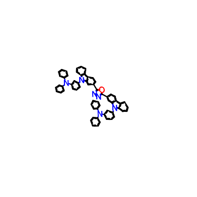 c1ccc(N(c2ccccc2)c2cccc(-n3c4ccccc4c4ccc(-c5nnc(-c6ccc7c8ccccc8n(-c8cccc(N(c9ccccc9)c9ccccc9)c8)c7c6)o5)cc43)c2)cc1